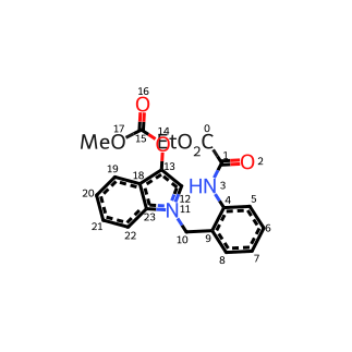 CCOC(=O)C(=O)Nc1ccccc1Cn1cc(OC(=O)OC)c2ccccc21